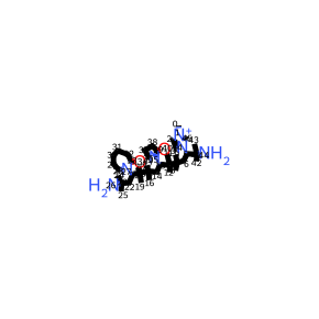 C[n+]1ccn(C(CC(C)(C)C(C)(C)C(CC(C)(C)C(C)(C)C(CC(C)(C)N)N2CCCCCC2=O)N2CCCC2=O)C(C)(C)N)c1